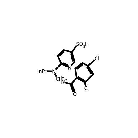 CCCN(C)c1ccc(S(=O)(=O)O)cn1.NC(=O)c1ccc(Cl)cc1Cl